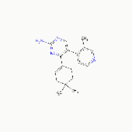 Cc1cnccc1-c1cnc(N)nc1C1=CCC(C)(C)CC1